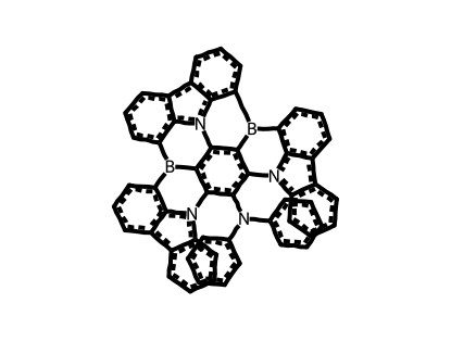 c1ccc(N(c2ccccc2)c2c3c4c5c6c2-n2c7ccccc7c7cccc(c72)B6c2cccc6c7cccc(c7n-5c26)B4c2cccc4c5ccccc5n-3c24)cc1